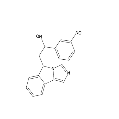 O=Nc1cccc(C(CC2c3ccccc3-c3cncn32)N=O)c1